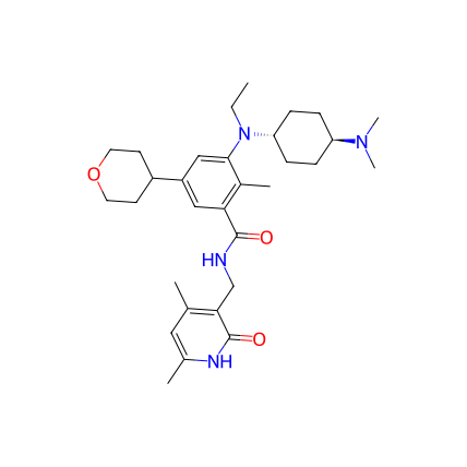 CCN(c1cc(C2CCOCC2)cc(C(=O)NCc2c(C)cc(C)[nH]c2=O)c1C)[C@H]1CC[C@H](N(C)C)CC1